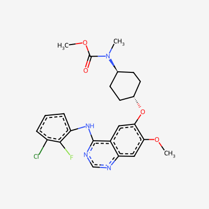 COC(=O)N(C)[C@H]1CC[C@H](Oc2cc3c(Nc4cccc(Cl)c4F)ncnc3cc2OC)CC1